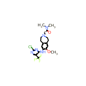 COc1cc2c(cc1Nc1nc(Cl)ncc1C(F)(F)F)CCN(CC(=O)N(C)C)CC2